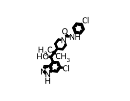 CC(C)(C1CCN(C(=O)Nc2ccc(Cl)cc2)CC1)C(O)c1cc(Cl)cc2[nH]ncc12